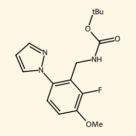 COc1ccc(-n2cccn2)c(CNC(=O)OC(C)(C)C)c1F